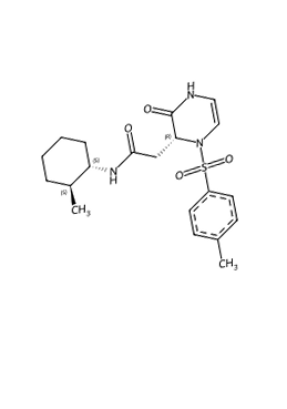 Cc1ccc(S(=O)(=O)N2C=CNC(=O)[C@H]2CC(=O)N[C@H]2CCCC[C@@H]2C)cc1